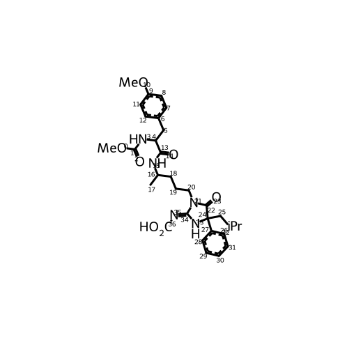 COC(=O)NC(Cc1ccc(OC)cc1)C(=O)NC(C)CCCN1C(=O)C(CC(C)C)(c2ccccc2)NC1=NC(=O)O